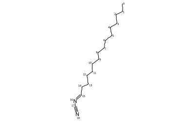 CCCCCCCCCCCCCCCC=NC#N